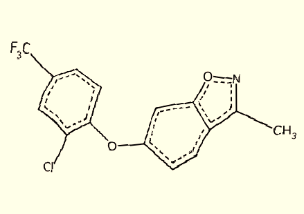 Cc1noc2cc(Oc3ccc(C(F)(F)F)cc3Cl)ccc12